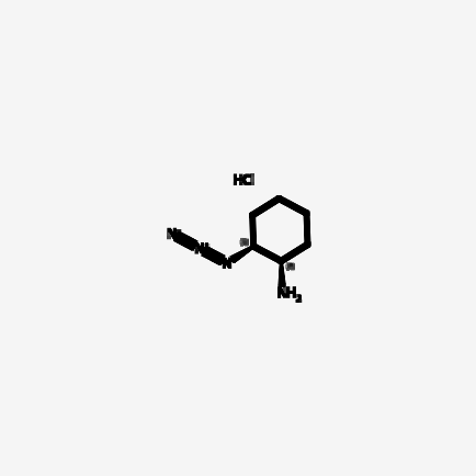 Cl.[N-]=[N+]=N[C@H]1CCCC[C@H]1N